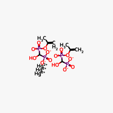 C=C(C)OP(=O)([O-])C(O)P(=O)([O-])[O-].C=C(C)OP(=O)([O-])C(O)P(=O)([O-])[O-].[Hg+2].[Hg+2].[Hg+2]